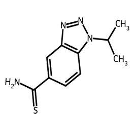 CC(C)n1nnc2cc(C(N)=S)ccc21